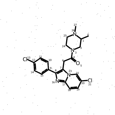 CC1CN(C(=O)Cc2c(-c3ccc(Cl)cc3)nc3ccc(Cl)cn23)CCN1C